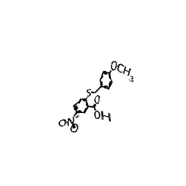 COc1ccc(CSc2ccc([N+](=O)[O-])cc2C(=O)O)cc1